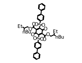 CCCCC(CC)COC(=O)C1=C(S(=O)(=O)c2ccc(-c3ccccc3)cc2)C(=O)C(C(=O)OCC(CC)CCCC)=C(S(=O)(=O)c2ccc(-c3ccccc3)cc2)C1=O